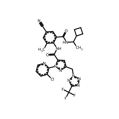 Cc1cc(C#N)cc(C(=O)NC(C)C2CCC2)c1NC(=O)c1cc(Cn2nnc(C(F)(F)F)n2)nn1-c1ncccc1Cl